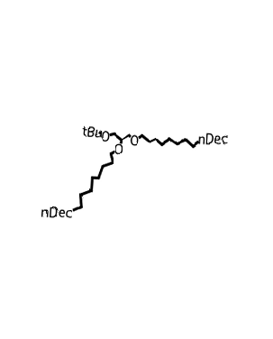 CCCCCCCCCCCCCCCCCCOC[C@H](COC(C)(C)C)OCCCCCCCCCCCCCCCCCC